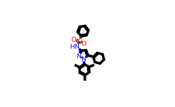 Cc1cc(C)c(-n2nc(NS(=O)(=O)c3ccccc3)cc2C2=CCCCC2)c(C)c1